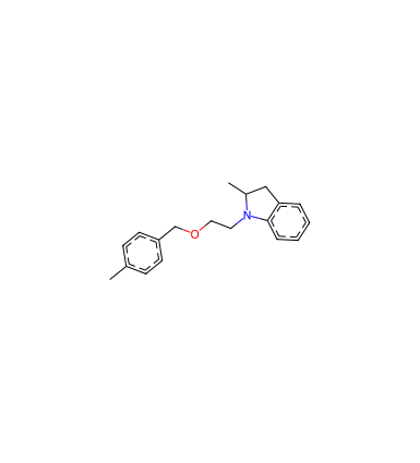 Cc1ccc(COCCN2c3ccccc3CC2C)cc1